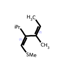 C/C=C(C)\C(=C/SC)C(C)C